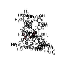 CC(C)C[C@H](C(=O)N[C@H]1C(=O)N[C@@H](CC(N)=O)C(=O)N[C@H]2C(=O)N[C@H]3C(=O)N[C@H](C(=O)N[C@H](C(=O)O)c4cc(O)cc(O)c4-c4cc3ccc4O)[C@H](O[C@H]3C[C@](C)(N)[C@@H](O)[C@H](C)O3)c3ccc(c(Cl)c3)Oc3cc2cc(c3O[C@@H]2O[C@H](CO)[C@@H](O)[C@H](O)[C@H]2O[C@H]2C[C@](C)(NCc3ccc(-c4ccc(Cl)cc4)cc3)[C@@H](O)[C@H](C)O2)Oc2ccc(cc2Cl)[C@H]1O)N(C)C